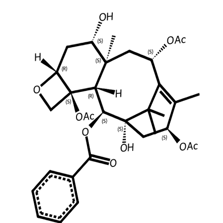 CC(=O)O[C@H]1C[C@@]2(O)[C@@H](OC(=O)c3ccccc3)[C@H]3[C@](C)(C[C@H](OC(C)=O)C(=C1C)C2(C)C)[C@@H](O)C[C@H]1OC[C@]13OC(C)=O